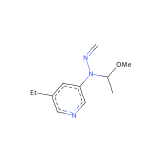 C=NN(c1cncc(CC)c1)C(C)OC